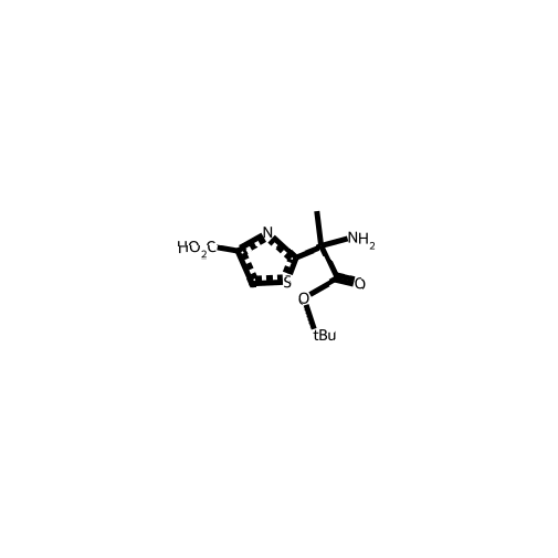 CC(C)(C)OC(=O)C(C)(N)c1nc(C(=O)O)cs1